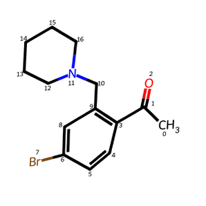 CC(=O)c1ccc(Br)cc1CN1CCCCC1